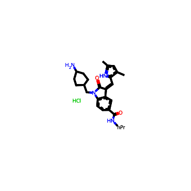 CCCNC(=O)c1ccc2c(c1)/C(=C/c1[nH]c(C)cc1C)C(=O)N2CC1CCC(N)CC1.Cl